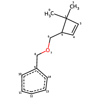 CC1(C)C=CC1COCc1ccccc1